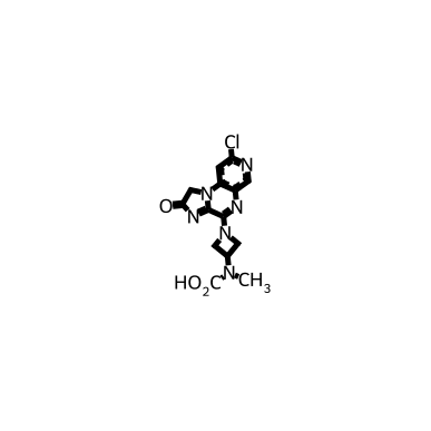 CN(C(=O)O)C1CN(C2=Nc3cnc(Cl)cc3N3CC(=O)N=C23)C1